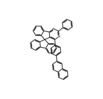 c1ccc(-c2nc(-c3ccc(-c4ccc5ccccc5c4)cc3)c3c(n2)-c2ccccc2C32c3ccccc3-c3ccccc32)cc1